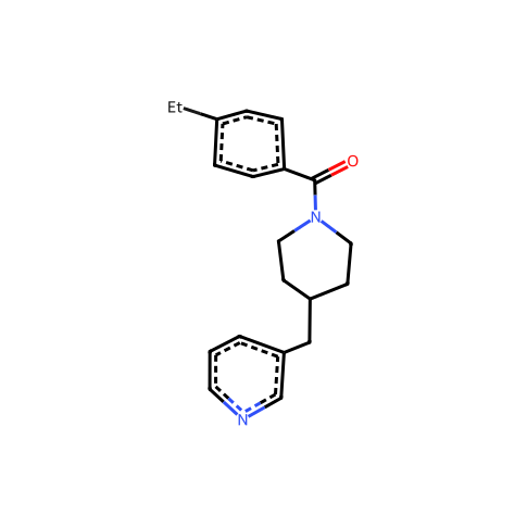 CCc1ccc(C(=O)N2CCC(Cc3cccnc3)CC2)cc1